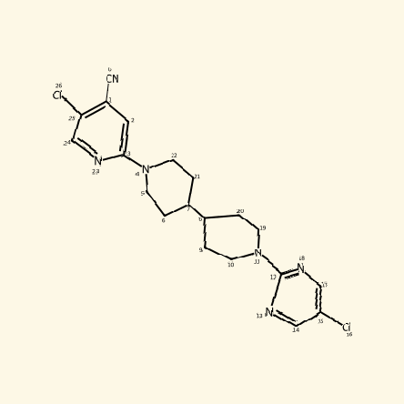 N#Cc1cc(N2CCC(C3CCN(c4ncc(Cl)cn4)CC3)CC2)ncc1Cl